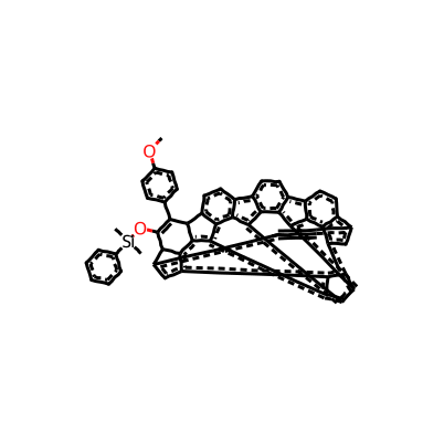 COc1ccc(C2=C(O[Si](C)(C)c3ccccc3)C3c4c#cc5cc6c7c5ccc5c8ccc9c%10ccc%11c%12c%13c(c3c(c4)c3c6c4c(c57)c8c9c(c%10%12)c4c%133)C2%11)cc1